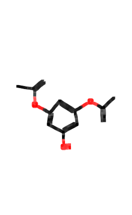 C=C(C)Oc1cc(O)cc(OC(=C)C)c1